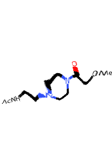 COCC(=O)N1CCN(CCNC(C)=O)CC1